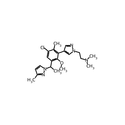 COc1c(C(C)n2ccc(C)n2)cc(Cl)c(C)c1-c1cnn(CCN(C)C)c1